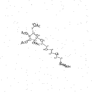 CC(=O)OCC1OC(OCCOCCOCCN=[N+]=N)C(OC(C)=O)C(OC(C)=O)C1OC(C)=O